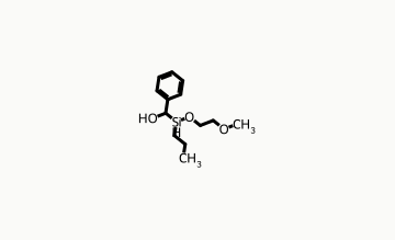 CCC[SiH](OCCOC)C(O)c1ccccc1